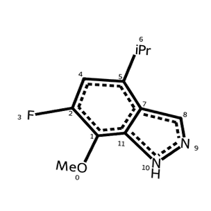 COc1c(F)cc(C(C)C)c2cn[nH]c12